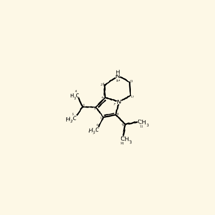 Cc1c(C(C)C)c2n(c1C(C)C)CCNC2